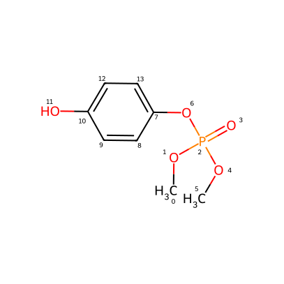 COP(=O)(OC)Oc1ccc(O)cc1